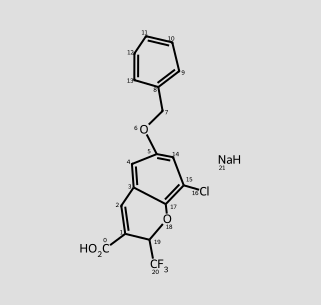 O=C(O)C1=Cc2cc(OCc3ccccc3)cc(Cl)c2OC1C(F)(F)F.[NaH]